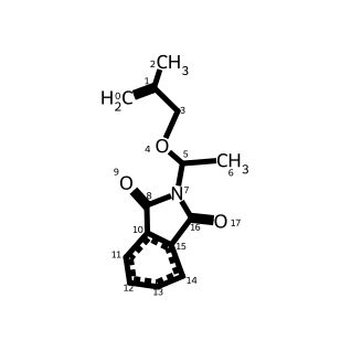 C=C(C)COC(C)N1C(=O)c2ccccc2C1=O